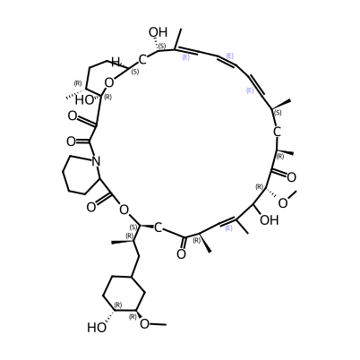 CO[C@H]1C(=O)[C@H](C)C[C@H](C)/C=C/C=C/C=C(\C)[C@@H](O)C[C@@H]2CC[C@@H](C)[C@@](O)(O2)C(=O)C(=O)N2CCCCC2C(=O)O[C@H]([C@H](C)CC2CC[C@@H](O)[C@H](OC)C2)CC(=O)[C@H](C)/C=C(\C)C1O